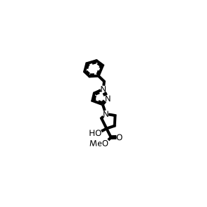 COC(=O)C1(O)CCN(c2ccn(Cc3ccccc3)n2)C1